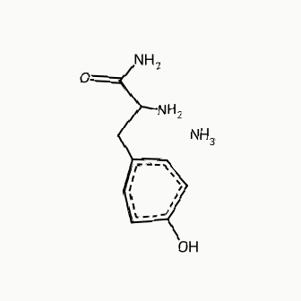 N.NC(=O)C(N)Cc1ccc(O)cc1